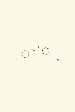 COc1cc(/C=C/C(=O)c2ccc(OCC#N)cc2)ccc1O